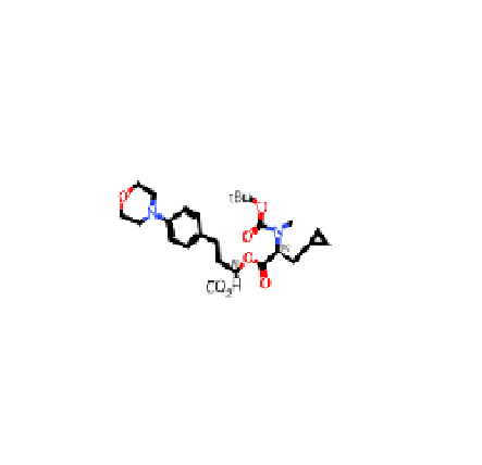 CN(C(=O)OC(C)(C)C)[C@@H](CC1CC1)C(=O)O[C@H](CCc1ccc(N2CCOCC2)cc1)C(=O)O